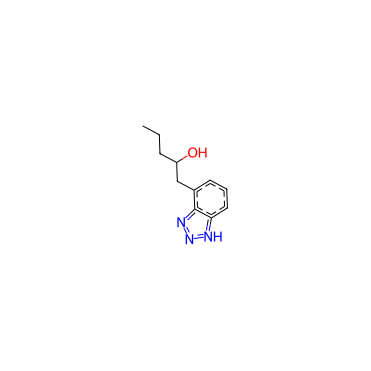 CCCC(O)Cc1cccc2[nH]nnc12